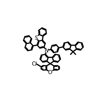 CC1(C)c2ccccc2-c2ccc(-c3ccc(N(c4cc(-c5cccc6ccccc56)c5sc6ccccc6c5c4)c4cccc5c4-c4ccccc4C54c5ccccc5Oc5ccc(Cl)cc54)cc3)cc21